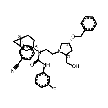 N#Cc1cccc([C@]23CC[C@@H](N(CCN4C[C@H](OCc5ccccc5)C[C@H]4CO)C(=O)Nc4cccc(F)c4)CC2C3)c1